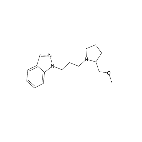 COCC1CCCN1CCCn1ncc2ccccc21